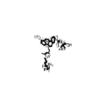 CC(CC[C@@H]1Cc2cc(OC(=O)NC(CO)(CO)CO)ccc2[C@H]2CC[C@]3(C)[C@@H](O)CC[C@H]3[C@H]12)CC(C)[S+]([O-])CCCC(F)(P)C(F)(F)F